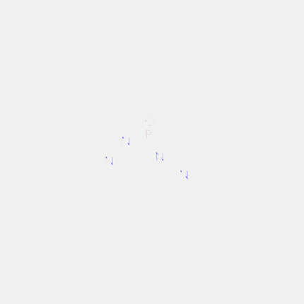 O=P(c1cccc(-c2ccccn2)n1)(c1cccc(-c2ccccn2)n1)c1ccc2ccc3cccc4ccc1c2c34